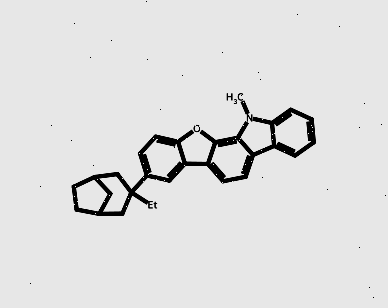 CCC1(c2ccc3oc4c(ccc5c6ccccc6n(C)c54)c3c2)CC2CCC(C2)C1